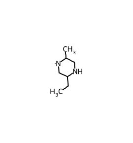 CCC1C[N]C(C)CN1